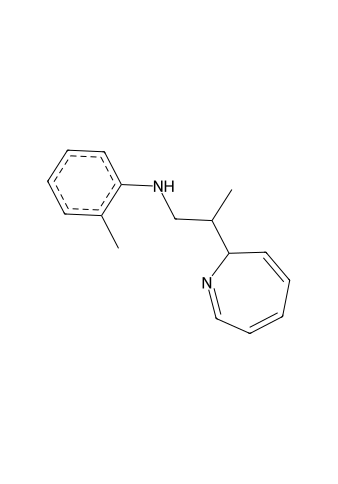 Cc1ccccc1NCC(C)C1C=CC=CC=N1